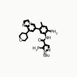 Cc1cc(P)c(NC(=O)c2cnn(C(C)(C)C)c2P)cc1-c1cc(C2CCOCC2)c2nccn2c1